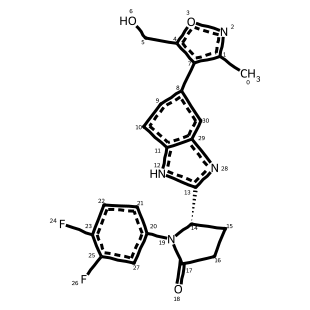 Cc1noc(CO)c1-c1ccc2[nH]c([C@@H]3CCC(=O)N3c3ccc(F)c(F)c3)nc2c1